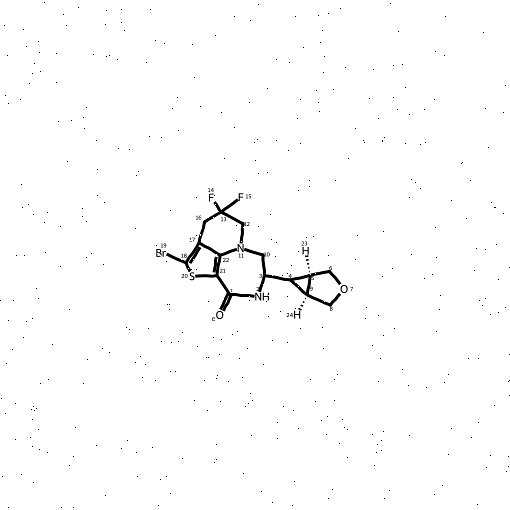 O=C1NC(C2[C@H]3COC[C@@H]23)CN2CC(F)(F)Cc3c(Br)sc1c32